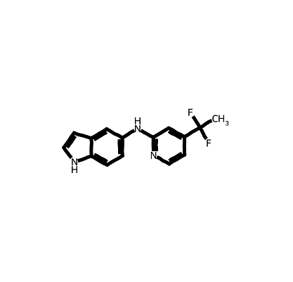 CC(F)(F)c1ccnc(Nc2ccc3[nH]ccc3c2)c1